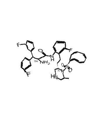 CC1CNC[C@H](CCc2c(F)cccc2NC(=O)[C@@H](N)C(c2cccc(F)c2)c2cccc(F)c2)N1S(=O)(=O)c1ccccc1